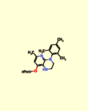 CCCCCOc1cc(C)nc2c1NCCN2c1c(C)cc(C)cc1C